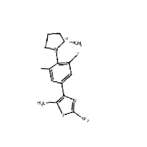 Cc1sc(N)nc1-c1cc(F)c(N2CCC[C@@H]2C)c(F)c1